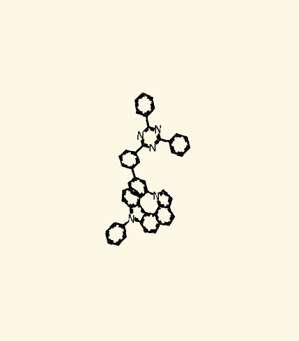 c1ccc(-c2nc(-c3ccccc3)nc(-c3cccc(-c4cccc(-n5ccc6ccc7ccc8c(c9ccccc9n8-c8ccccc8)c7c65)c4)c3)n2)cc1